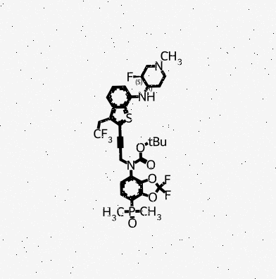 CN1CC[C@@H](Nc2cccc3c(CC(F)(F)F)c(C#CCN(C(=O)OC(C)(C)C)c4ccc(P(C)(C)=O)c5c4OC(F)(F)O5)sc23)[C@@H](F)C1